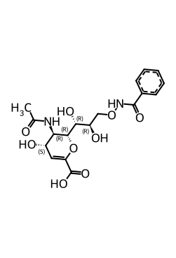 CC(=O)N[C@H]1[C@H]([C@H](O)[C@H](O)CONC(=O)c2ccccc2)OC(C(=O)O)=C[C@@H]1O